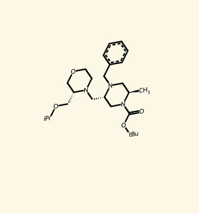 CC(C)OC[C@@H]1COCCN1C[C@H]1CN(C(=O)OC(C)(C)C)[C@H](C)CN1Cc1ccccc1